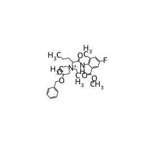 CCCC(C(=O)Nc1c(C)cc(F)cc1C(=O)OC)[N+](CC)(CC)CC(=O)OCc1ccccc1